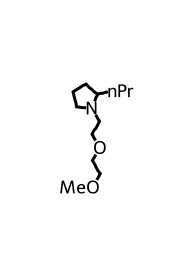 CCCC1CCCN1CCOCCOC